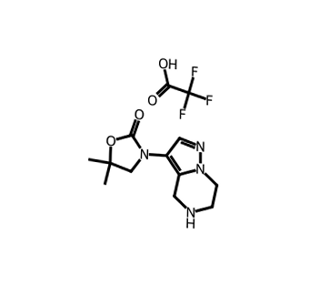 CC1(C)CN(c2cnn3c2CNCC3)C(=O)O1.O=C(O)C(F)(F)F